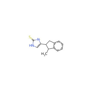 CC1c2ccccc2CC1C1=CNC(=S)[N]1